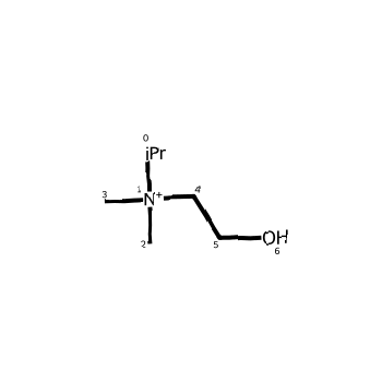 CC(C)[N+](C)(C)CCO